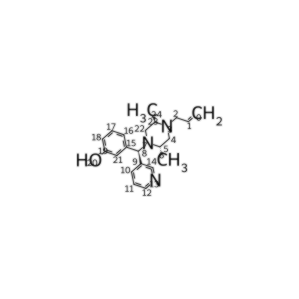 C=CCN1C[C@H](C)N([C@@H](c2cccnc2)c2cccc(O)c2)C[C@H]1C